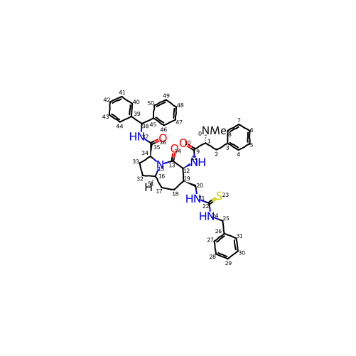 CN[C@H](Cc1ccccc1)C(=O)N[C@@H]1C(=O)N2[C@@H](CC[C@@H]1CNC(=S)NCc1ccccc1)CC[C@H]2C(=O)NC(c1ccccc1)c1ccccc1